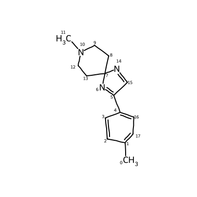 Cc1ccc(C2=NC3(CCN(C)CC3)N=C2)cc1